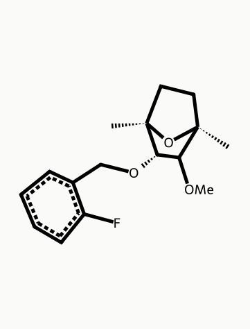 COC1[C@H](OCc2ccccc2F)[C@@]2(C)CC[C@]1(C)O2